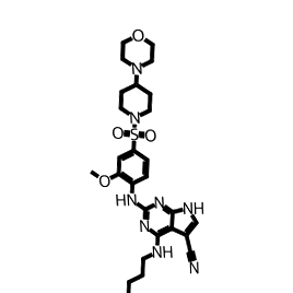 CCCCNc1nc(Nc2ccc(S(=O)(=O)N3CCC(N4CCOCC4)CC3)cc2OC)nc2[nH]cc(C#N)c12